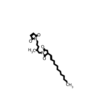 CCCCCCCCCC/C=C/C1CC(=O)N(CC(C)CCCN2C(=O)C=CC2=O)C1=O